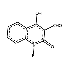 CCn1c(=O)c(C=O)c(O)c2ccccc21